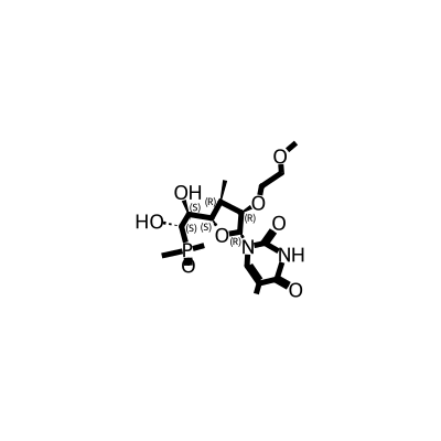 COCCO[C@@H]1[C@H](C)[C@@H]([C@H](O)[C@@H](O)P(C)(C)=O)O[C@H]1n1cc(C)c(=O)[nH]c1=O